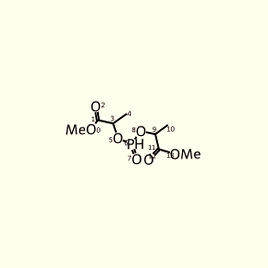 COC(=O)C(C)O[PH](=O)OC(C)C(=O)OC